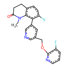 CN1C(=O)CCc2ccc(F)c(-c3cncc(COc4ncccc4F)c3)c21